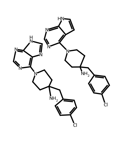 NC1(Cc2ccc(Cl)cc2)CCN(c2ncnc3[nH]ccc23)CC1.NC1(Cc2ccc(Cl)cc2)CCN(c2ncnc3[nH]cnc23)CC1